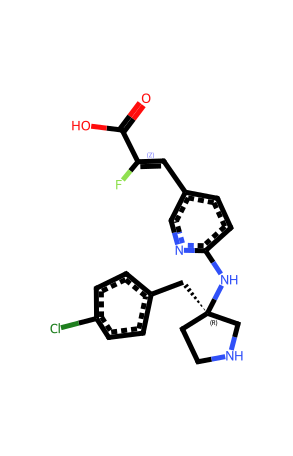 O=C(O)/C(F)=C/c1ccc(N[C@]2(Cc3ccc(Cl)cc3)CCNC2)nc1